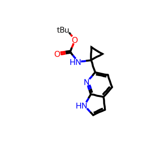 CC(C)(C)OC(=O)NC1(c2ccc3cc[nH]c3n2)CC1